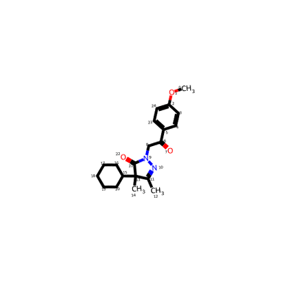 COc1ccc(C(=O)CN2N=C(C)C(C)(C3CCCCC3)C2=O)cc1